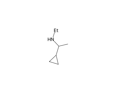 CCNC(C)C1CC1